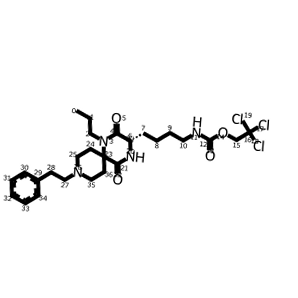 CCCN1C(=O)[C@H](CCCCNC(=O)OCC(Cl)(Cl)Cl)NC(=O)C12CCN(CCc1ccccc1)CC2